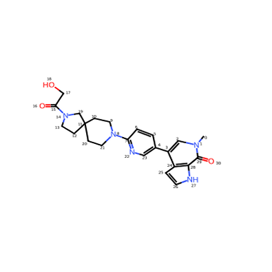 Cn1cc(-c2ccc(N3CCC4(CCN(C(=O)CO)C4)CC3)nc2)c2cc[nH]c2c1=O